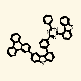 c1ccc(-c2nc(-c3cccc(-c4cccc5sc6ccc(-c7ccc8c9ccccc9c9ccccc9c8c7)cc6c45)c3)nc(-c3cccc4sc5ccccc5c34)n2)cc1